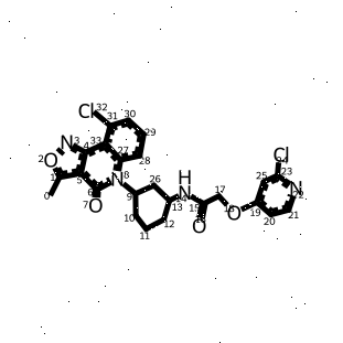 Cc1onc2c1c(=O)n(C1CCCC(NC(=O)COc3ccnc(Cl)c3)C1)c1cccc(Cl)c21